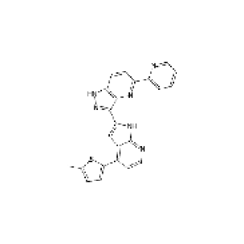 Cc1ccc(-c2ccnc3[nH]c(-c4n[nH]c5ccc(-c6ccccn6)nc45)cc23)s1